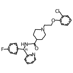 O=C(N[C@H](c1ccc(F)cc1)c1ccccn1)C1CCN(CCOc2ccccc2Cl)CC1